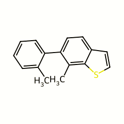 Cc1ccccc1-c1ccc2ccsc2c1C